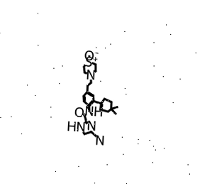 CC1(C)CC=C(c2cc(CCN3CC[S+]([O-])CC3)ccc2NC(=O)C2=NC(C#N)CN2)CC1